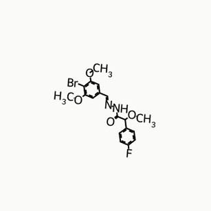 COc1cc(/C=N/NC(=O)C(OC)c2ccc(F)cc2)cc(OC)c1Br